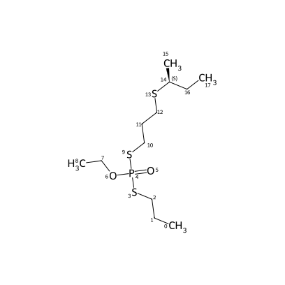 CCCSP(=O)(OCC)SCCCS[C@@H](C)CC